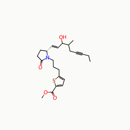 CCC#CCC(C)C(O)C=C[C@H]1CCC(=O)N1CCCc1ccc(C(=O)OC)s1